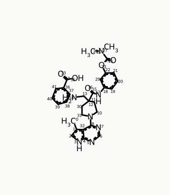 Cc1c[nH]c2ncnc(N3CCC(CN)(C(=O)Nc4cccc(OC(=O)N(C)C)c4)CC3)c12.O=C(O)c1ccccc1